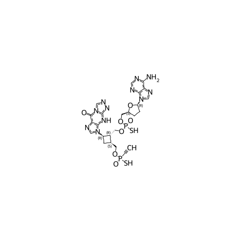 C#CP(=O)(S)OC[C@H]1C[C@@H](n2cnc3c(=O)n4cnnc4[nH]c32)[C@@H]1COP(=O)(S)OC[C@@H]1CC[C@H](n2cnc3c(N)ncnc32)O1